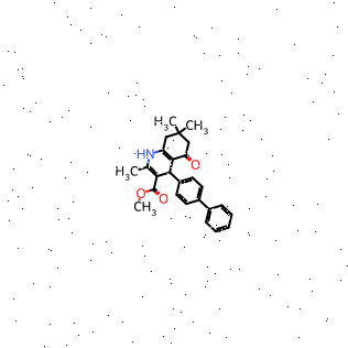 COC(=O)C1=C(C)NC2=C(C(=O)CC(C)(C)C2)C1c1ccc(-c2ccccc2)cc1